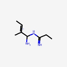 C/C=C(\C)C(N)NC(=N)CC